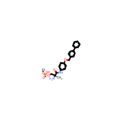 CCOP(=O)(O)OC[C@](C)(N)C(=O)Nc1ccc(OCc2ccc(-c3ccccc3)cc2)cc1